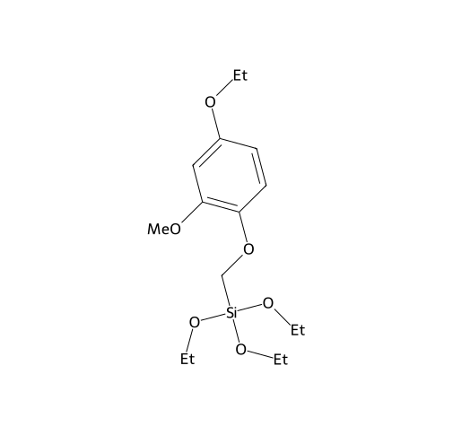 CCOc1ccc(OC[Si](OCC)(OCC)OCC)c(OC)c1